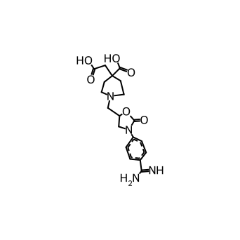 N=C(N)c1ccc(N2CC(CN3CCC(CC(=O)O)(C(=O)O)CC3)OC2=O)cc1